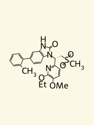 CCOc1nc([C@@H](CS(C)(=O)=O)n2c(=O)[nH]c3cc(-c4ccccc4C)ccc32)ccc1OC